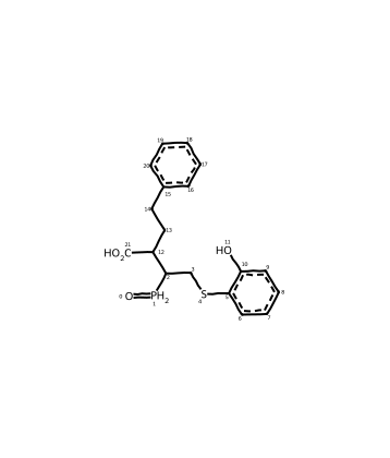 O=[PH2]C(CSc1ccccc1O)C(CCc1ccccc1)C(=O)O